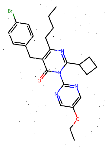 CCCCc1nc(C2CCC2)n(-c2ncc(OCC)cn2)c(=O)c1Cc1ccc(Br)cc1